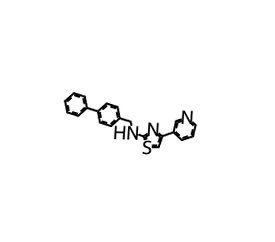 c1ccc(-c2ccc(CNc3nc(-c4cccnc4)cs3)cc2)cc1